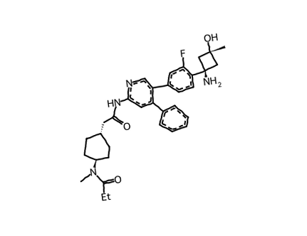 CCC(=O)N(C)[C@H]1CC[C@H](CC(=O)Nc2cc(-c3ccccc3)c(-c3ccc([C@]4(N)C[C@](C)(O)C4)c(F)c3)cn2)CC1